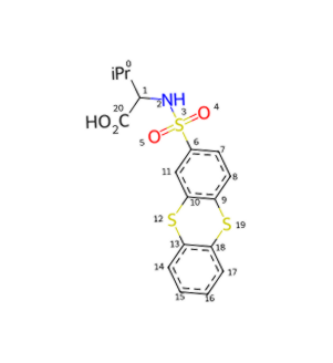 CC(C)C(NS(=O)(=O)c1ccc2c(c1)Sc1ccccc1S2)C(=O)O